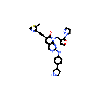 Cc1scnc1C#Cc1cc2cnc(Nc3ccc(C4CCNC4)cc3)nc2n(Cc2ccoc2-n2cccn2)c1=O